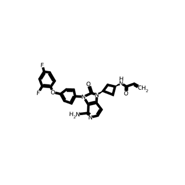 C=CC(=O)N[C@H]1C[C@@H](n2c(=O)n(-c3ccc(Oc4ccc(F)cc4F)cc3)c3c(N)nccc32)C1